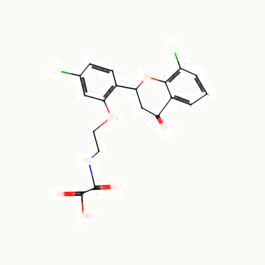 O=C(O)C(=O)NCCOc1cc(Cl)ccc1C1CC(=O)c2cccc(Cl)c2O1